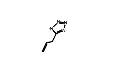 C=CCC1=NN=N[N]1